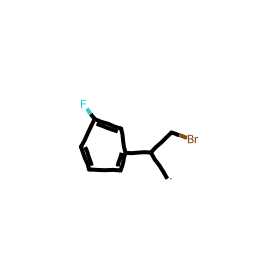 [CH2]C(CBr)c1cccc(F)c1